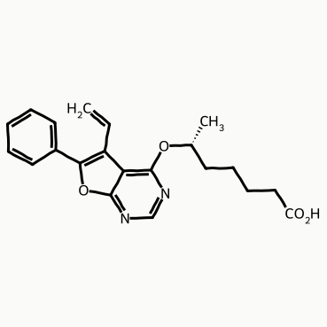 C=Cc1c(-c2ccccc2)oc2ncnc(O[C@H](C)CCCCC(=O)O)c12